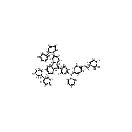 C(=C\c1ccc(N(c2ccccc2)c2ccc(-n3c4ccc(-c5ccccc5-c5ccccc5)cc4c4cc(-c5ccccc5-c5ccccc5)ccc43)cc2)cc1)/c1ccccc1